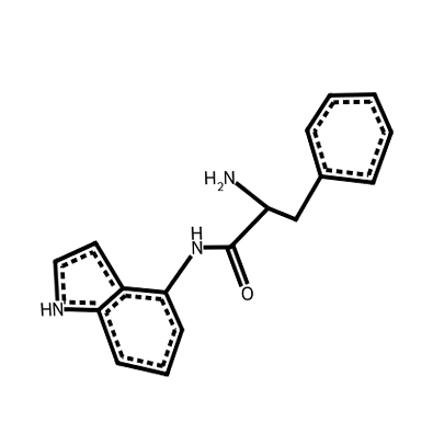 NC(Cc1ccccc1)C(=O)Nc1cccc2[nH]ccc12